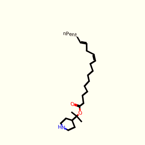 CCCCC/C=C/C/C=C\CCCCCCCCC(=O)OC(C)(C)C1CCNCC1